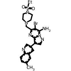 CCS(=O)(=O)N1CCN(Cc2nc3c(-c4cnc5ccc(C)cc5c4)cnn3c(N)c2Br)CC1